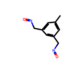 Cc1cc(CN=O)cc(CN=O)c1